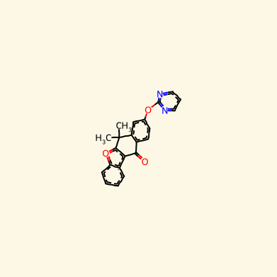 CC1(C)c2cc(Oc3ncccn3)ccc2C(=O)c2c1oc1ccccc21